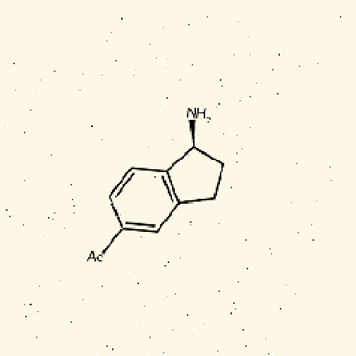 CC(=O)c1ccc2c(c1)CC[C@@H]2N